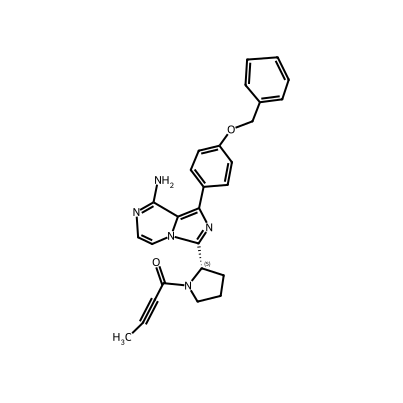 CC#CC(=O)N1CCC[C@H]1c1nc(-c2ccc(OCc3ccccc3)cc2)c2c(N)nccn12